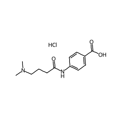 CN(C)CCCC(=O)Nc1ccc(C(=O)O)cc1.Cl